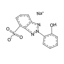 O=S(=O)([O-])c1cccc2nn(-c3ccccc3O)nc12.[Na+]